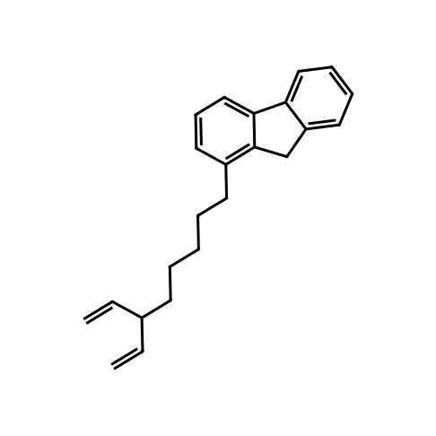 C=CC(C=C)CCCCCc1cccc2c1Cc1ccccc1-2